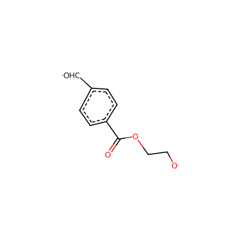 [O]CCOC(=O)c1ccc([C]=O)cc1